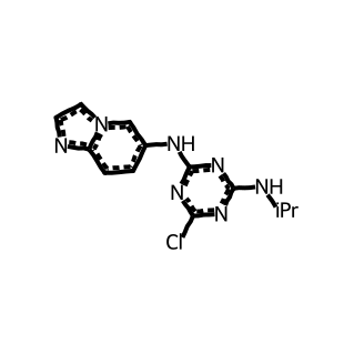 CC(C)Nc1nc(Cl)nc(Nc2ccc3nccn3c2)n1